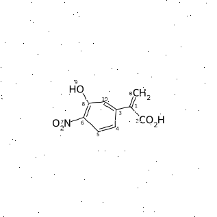 C=C(C(=O)O)c1ccc([N+](=O)[O-])c(O)c1